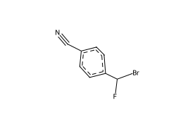 N#Cc1ccc(C(F)Br)cc1